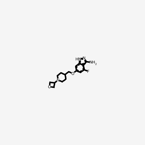 Nc1n[nH]c2cc(OCC3CCN(C4COC4)CC3)cc(F)c12